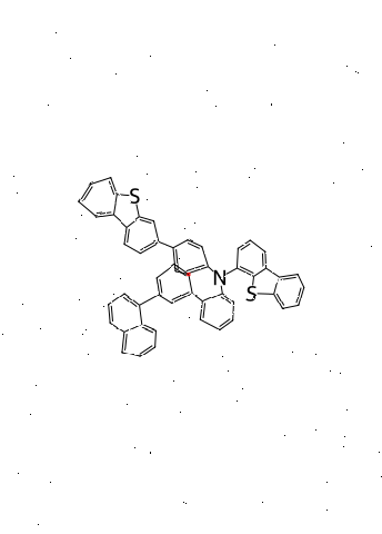 c1cc(-c2ccccc2N(c2ccc(-c3ccc4c(c3)sc3ccccc34)cc2)c2cccc3c2sc2ccccc23)cc(-c2cccc3ccccc23)c1